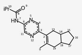 CC1=C(c2cnc(NC(=O)C(C)C)cn2)CC2CCCC2C1